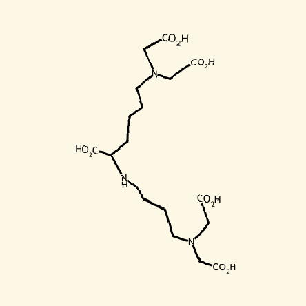 O=C(O)CN(CCCCNC(CCCCN(CC(=O)O)CC(=O)O)C(=O)O)CC(=O)O